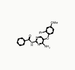 COc1ccc(Oc2cnc(NC(=O)c3ccccc3)nc2N)c(C(C)C)c1